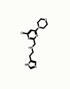 Clc1cc(N2CCOCC2)nc(CNCCc2cnc[nH]2)n1